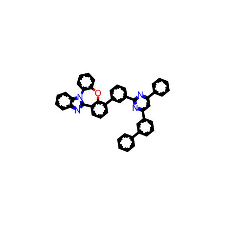 c1ccc(-c2cccc(-c3cc(-c4ccccc4)nc(-c4cccc(-c5cccc6c5Oc5ccccc5-n5c-6nc6ccccc65)c4)n3)c2)cc1